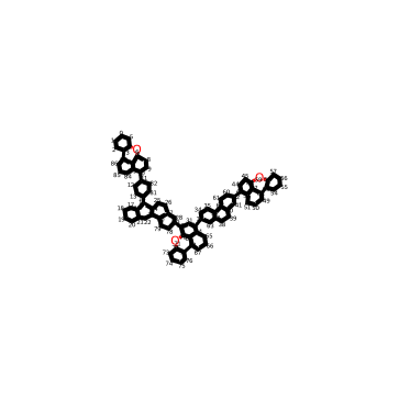 c1ccc2c(c1)Oc1ccc(-c3ccc(-c4c5ccccc5cc5c4ccc4cc(-c6cc(-c7ccc8c(ccc9cc(-c%10ccc%11c%12c(cccc%10%12)-c%10ccccc%10O%11)ccc98)c7)c7cccc8c7c6Oc6ccccc6-8)ccc45)cc3)c3cccc-2c13